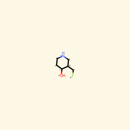 OC1CCNCC1CF